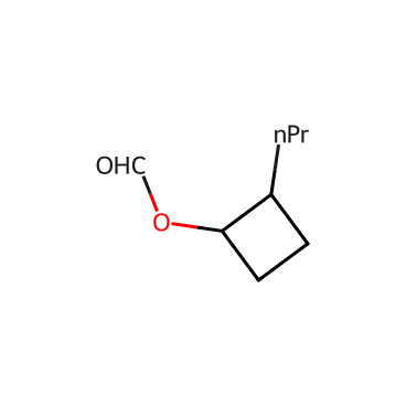 CCCC1CCC1OC=O